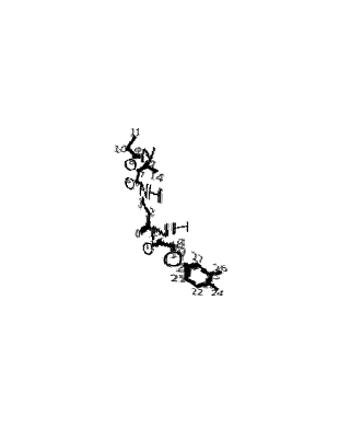 C=C(CCNC(=O)c1oc(CC)nc1C)NC(=O)COc1ccc(C)c(C)c1